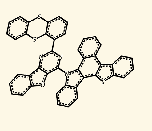 c1ccc2c(c1)Sc1cccc(-c3nc(-n4c5ccccc5c5c6sc7ccccc7c6c6ccccc6c54)c4oc5ccccc5c4n3)c1S2